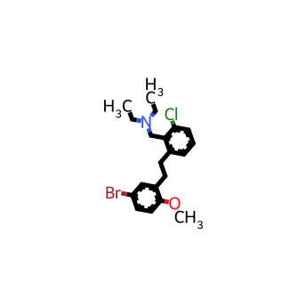 CCN(CC)Cc1c(Cl)cccc1CCc1cc(Br)ccc1OC